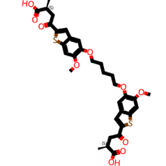 COc1cc2sc(C(=O)C[C@H](C)C(=O)O)cc2cc1OCCCCCOc1cc2cc(C(=O)C[C@H](C)C(=O)O)sc2cc1OC